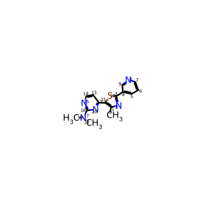 Cc1nc(-c2cccnc2)sc1-c1ccnc(N(C)C)n1